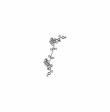 C[C@@H](C(=O)N[C@@H](CCCCNC(=O)CCCCCC(=O)NCCCC[C@H](NC(=O)[C@H](C)N(C)C(=O)OC(C)(C)C)C(=O)N1CCC[C@H]1c1cncc(C(=O)c2ccc(F)cc2)c1)C(=O)N1CCC[C@H]1c1cncc(C(=O)c2ccc(F)cc2)c1)N(C)C(=O)OC(C)(C)C